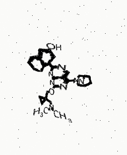 CN(C)CC1(COc2nc(N3CC4CCC(C3)N4)c3cnc(-c4cc(O)cc5ccccc45)nc3n2)CC1